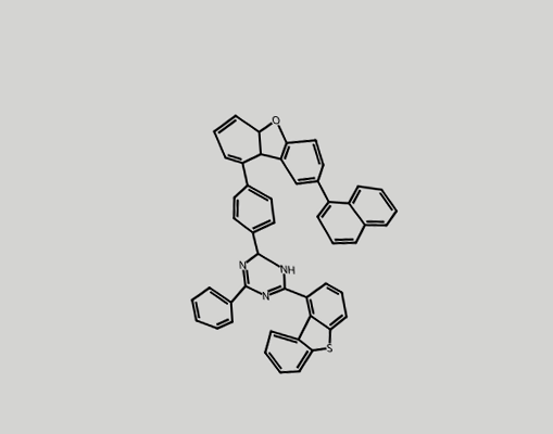 C1=CC2Oc3ccc(-c4cccc5ccccc45)cc3C2C(c2ccc(C3N=C(c4ccccc4)N=C(c4cccc5sc6ccccc6c45)N3)cc2)=C1